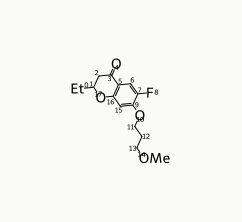 CCC1CC(=O)c2cc(F)c(OCCCOC)cc2O1